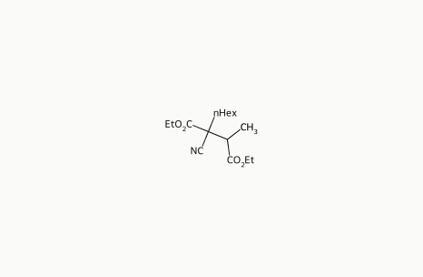 CCCCCCC(C#N)(C(=O)OCC)C(C)C(=O)OCC